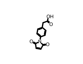 O=C(O)Cc1ccc(N2C(=O)C=CC2=O)cc1